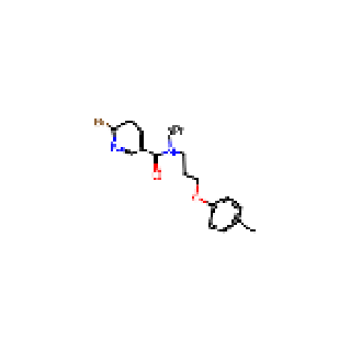 CCCN(CCCOc1ccc(C)cc1)C(=O)C1=CCC(Br)N=C1